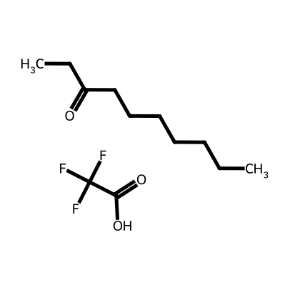 CCCCCCCC(=O)CC.O=C(O)C(F)(F)F